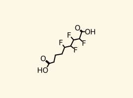 O=C(O)CCCC(F)C(F)C(F)C(F)C(=O)O